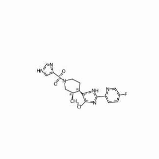 C[C@H]1CN(S(=O)(=O)c2c[nH]cn2)CC[C@H]1c1[nH]c(-c2ccc(F)cn2)nc1Cl